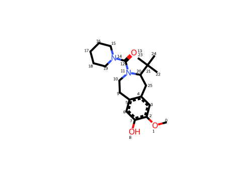 COc1cc2c(cc1O)CCN(C(=O)N1CCCCC1)C(C(C)(C)C)C2